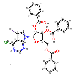 O=C(OC[C@H]1O[C@@H](n2cc(I)c3c(Cl)ncnc32)[C@@H](OC(=O)c2ccccc2)C1OC(=O)c1ccccc1)c1ccccc1